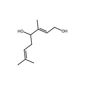 CC(C)=CCC(O)C(C)=CCO